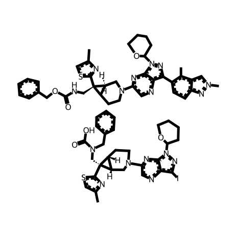 Cc1csc([C@@]2(CN(Cc3ccccc3)C(=O)O)[C@@H]3CCN(c4cnc5c(I)nn(C6CCCCO6)c5n4)C[C@@H]32)n1.Cc1csc([C@@]2(CNC(=O)OCc3ccccc3)[C@@H]3CCN(c4cnc5c(-c6ccc7nn(C)cc7c6C)nn(C6CCCCO6)c5n4)C[C@@H]32)n1